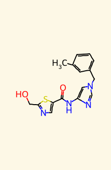 Cc1cccc(Cn2cnc(NC(=O)c3cnc(CO)s3)c2)c1